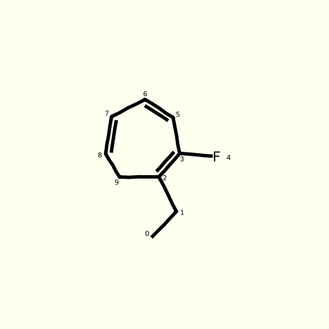 CCC1=C(F)C=CC=CC1